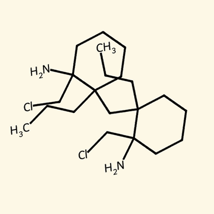 CCCC1(CC2(CCC)CCCCC2(N)CCl)CCCCC1(N)CCl